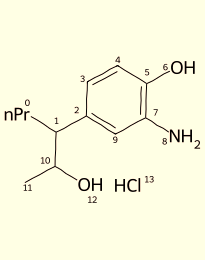 CCCC(c1ccc(O)c(N)c1)C(C)O.Cl